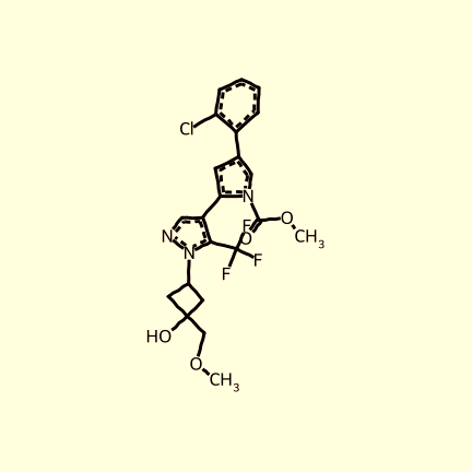 COCC1(O)CC(n2ncc(-c3cc(-c4ccccc4Cl)cn3C(=O)OC)c2C(F)(F)F)C1